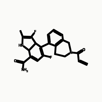 C=CC(=O)N1CCc2c(cccc2C2=C(F)C=C(C(N)=O)C3NC(C)=C(F)C23)C1